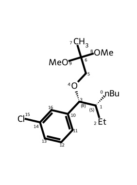 CCCC[C@H](CC)[C@@H](OCC(C)(OC)OC)c1cccc(Cl)c1